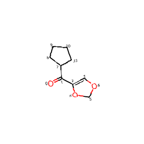 O=C(C1=COCO1)C1CCCC1